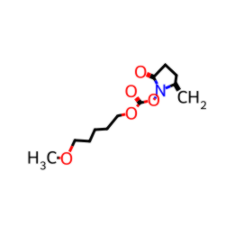 C=C1CCC(=O)N1OC(=O)OCCCCCOC